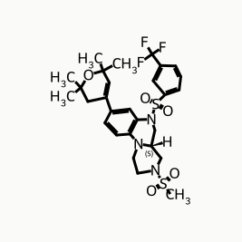 CC1(C)C=C(c2ccc3c(c2)N(S(=O)(=O)c2cccc(C(F)(F)F)c2)C[C@@H]2CN(S(C)(=O)=O)CCN32)CC(C)(C)O1